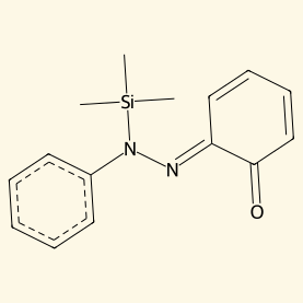 C[Si](C)(C)N(N=C1C=CC=CC1=O)c1ccccc1